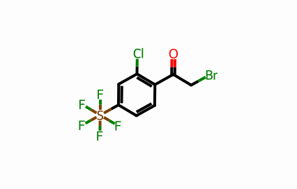 O=C(CBr)c1ccc(S(F)(F)(F)(F)F)cc1Cl